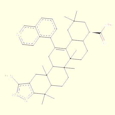 CC1(C)CC2C3=C(c4cccc5cnccc45)CC4C5(C)Cc6c(n[nH]c6N)C(C)(C)C5CCC4(C)C3(C)CCC2[C@H](C(=O)O)C1